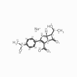 C[C@@H](O)[C@H]1C(=O)N2C(C(=O)[O-])=C(c3ccc([S+](C)[O-])cc3)S[C@H]12.[Na+]